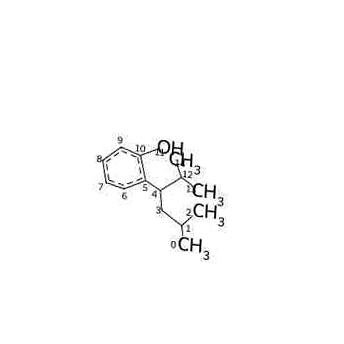 CC(C)CC(c1ccccc1O)C(C)C